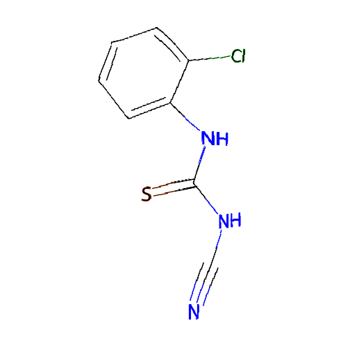 N#CNC(=S)Nc1ccccc1Cl